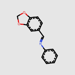 C(=Nc1ccccc1)c1ccc2c(c1)OCO2